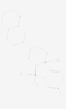 CC12C=CC(C3CCC4CCC=CC4C3)CC1C(C)(C)C1CC(I)CC=C12